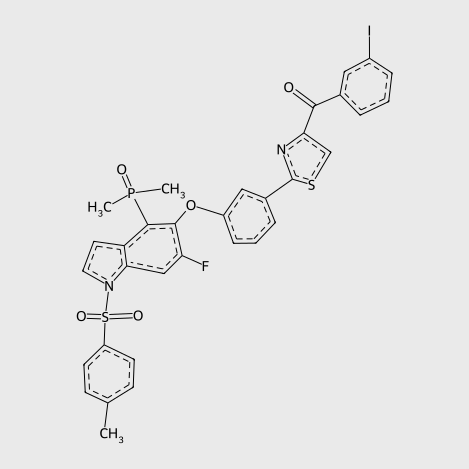 Cc1ccc(S(=O)(=O)n2ccc3c(P(C)(C)=O)c(Oc4cccc(-c5nc(C(=O)c6cccc(I)c6)cs5)c4)c(F)cc32)cc1